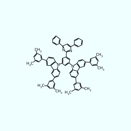 Cc1cc(C)cc(-c2ccc3c(c2)c2cc(-c4cc(C)cc(C)c4)ccc2n3-c2cc(-c3nc(-c4ccccc4)cc(-c4ccccc4)n3)cc(-n3c4ccc(-c5cc(C)cc(C)c5)cc4c4cc(-c5cc(C)cc(C)c5)ccc43)c2)c1